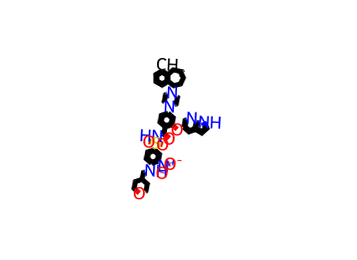 Cc1cccc2c1CCCC[C@H]2N1CCN(c2ccc(C(=O)NS(=O)(=O)c3ccc(NCC4CCOCC4)c([N+](=O)[O-])c3)c(Oc3cnc4[nH]ccc4c3)c2)CC1